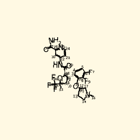 C[C@H]1[C@@H](c2ccc(F)c(F)c2O[C@@H]2CCN(C)C2)[C@H](C(=O)Nc2ccnc(C(N)=O)c2)O[C@@]1(C)C(F)(F)F